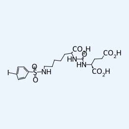 O=C(O)CC[C@H](NC(=O)N[C@@H](CCCCCNS(=O)(=O)c1ccc(I)cc1)C(=O)O)C(=O)O